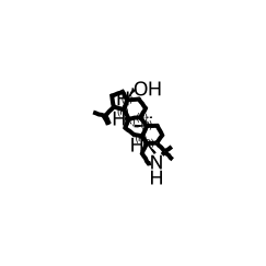 C=C(C)C1CC[C@]2(CO)CC[C@]3(C)[C@H](CC[C@@H]4[C@@]5(C)CCNC(C)(C)C5CC[C@]43C)[C@@H]12